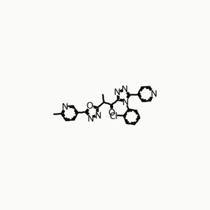 Cc1ccc(-c2nnc(C(C)C(=O)c3nnc(-c4ccncc4)n3-c3ccccc3Cl)o2)cn1